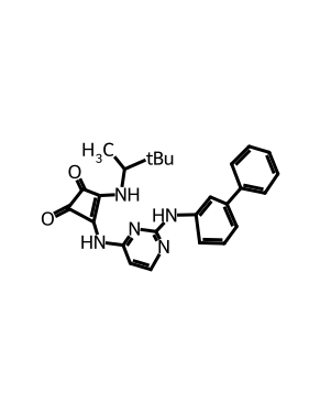 CC(Nc1c(Nc2ccnc(Nc3cccc(-c4ccccc4)c3)n2)c(=O)c1=O)C(C)(C)C